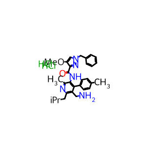 COc1cn(Cc2ccccc2)nc1C(=O)Nc1c(C)nc(CC(C)C)c(CN)c1-c1ccc(C)cc1.Cl.Cl